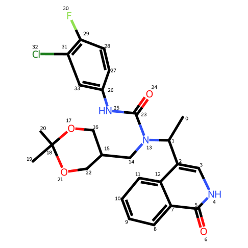 CC(c1c[nH]c(=O)c2ccccc12)N(CC1COC(C)(C)OC1)C(=O)Nc1ccc(F)c(Cl)c1